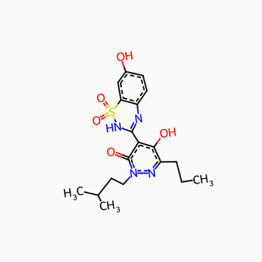 CCCc1nn(CCC(C)C)c(=O)c(C2=Nc3ccc(O)cc3S(=O)(=O)N2)c1O